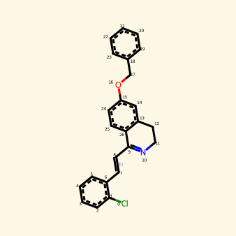 Clc1ccccc1/C=C/C1=NCCc2cc(OCc3ccccc3)ccc21